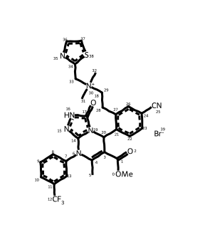 COC(=O)C1=C(C)N(c2cccc(C(F)(F)F)c2)c2n[nH]c(=O)n2C1c1ccc(C#N)cc1CC[N+](C)(C)Cc1nccs1.[Br-]